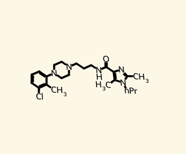 CCCn1c(C)nc(C(=O)NCCCN2CCN(c3cccc(Cl)c3C)CC2)c1C